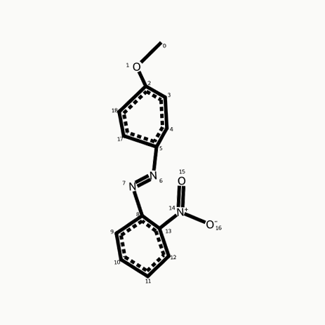 COc1ccc(N=Nc2ccccc2[N+](=O)[O-])cc1